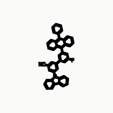 N#Cc1cc(-c2cc(F)cc(-c3c4ccccc4c(-c4ccccc4)c4ccccc34)c2)cc(-n2c3ccccc3c3ccccc32)c1